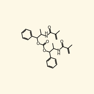 C=C(C)C(=O)NC(C)C(OC(=O)OC(c1ccccc1)C(C)NC(=O)C(=C)C)c1ccccc1